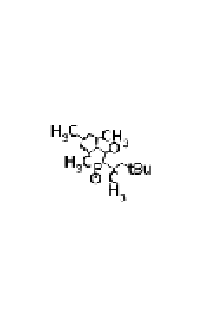 Cc1cc(C)c(C(=O)C(P=O)C(C)CC(C)(C)C)c(C)c1